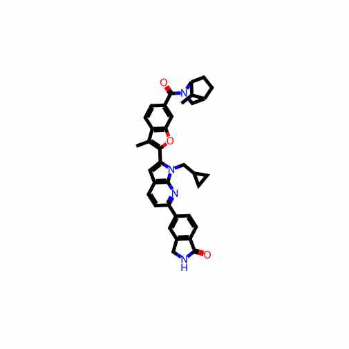 Cc1c(-c2cc3ccc(-c4ccc5c(c4)CNC5=O)nc3n2CC2CC2)oc2cc(C(=O)N3CC4CCC3C4C)ccc12